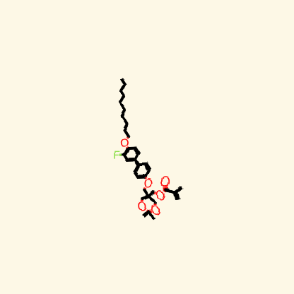 C=C(C)C(=O)OCC1(COc2ccc(-c3ccc(OCCCCCCCCCC)c(F)c3)cc2)COC(C)(C)OC1